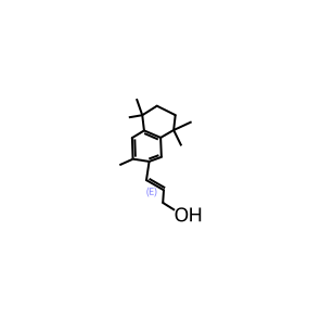 Cc1cc2c(cc1/C=C/CO)C(C)(C)CCC2(C)C